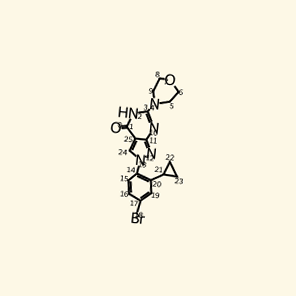 O=c1[nH]c(N2CCOCC2)nc2nn(-c3ccc(Br)cc3C3CC3)cc12